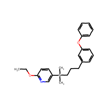 CCOc1ccc([Si](C)(C)CCCc2cccc(Oc3ccccc3)c2)cn1